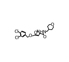 O=C(NCC1CCOCC1)c1cc(COCc2ccc(Cl)c(Cl)c2)on1